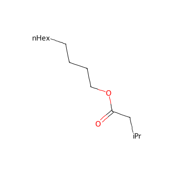 CCCCCCCCCCOC(=O)CC(C)C